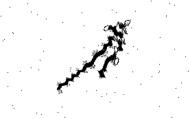 C=CCCC(=O)OCc1nc2nc(Cl)nc(Cl)c2n1CCCCCCCCCCCCCCCC